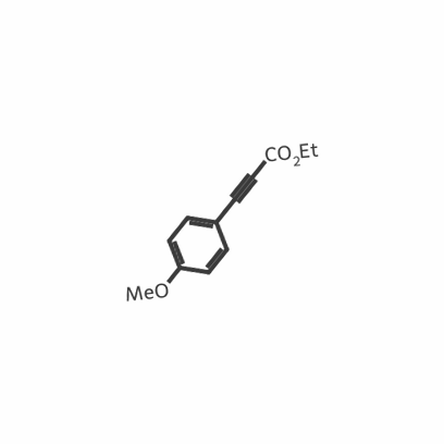 CCOC(=O)C#Cc1ccc(OC)cc1